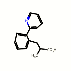 CC(Cc1ccccc1-c1ccccn1)C(=O)O